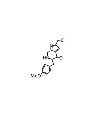 COc1ccc(CC2NCn3nc(CCl)cc3C2=O)cc1